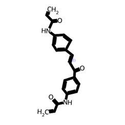 C=CC(=O)Nc1ccc(/C=C/C(=O)c2ccc(NC(=O)C=C)cc2)cc1